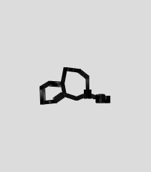 CC(C)(C)N1CCCc2ccccc2C1